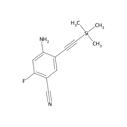 C[Si](C)(C)C#Cc1cc(C#N)c(F)cc1N